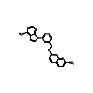 Nc1ccc2ccc(OCc3cncc(-n4ccc5c(N)ncnc54)c3)cc2n1